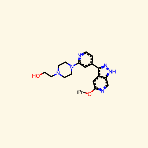 CC(C)Oc1cc2c(-c3ccnc(N4CCN(CCO)CC4)c3)n[nH]c2cn1